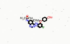 COc1cc(N=S(C)(C)=O)cc2ncnc(Nc3ccc(F)cc3O[C@H]3CC[C@H](O)CC3)c12